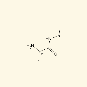 CSNC(=O)[C@H](C)N